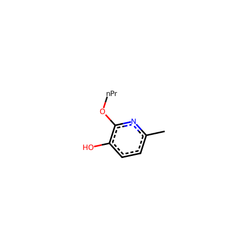 CCCOc1nc(C)ccc1O